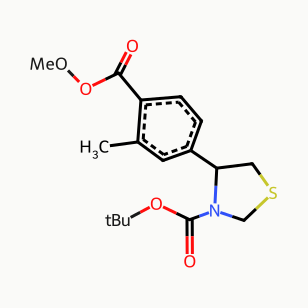 COOC(=O)c1ccc(C2CSCN2C(=O)OC(C)(C)C)cc1C